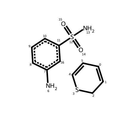 C1=CCSC=C1.Nc1cccc(S(N)(=O)=O)c1